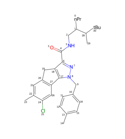 CCCC(CNC(=O)c1nn(Cc2ccc(C)cc2)c2c1Cc1cc(C)c(Cl)cc1-2)C(C)C(C)(C)C